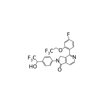 O=C1c2ccnc(-c3ccc(F)cc3OCC(F)(F)F)c2CN1c1ccc(C(O)C(F)(F)F)cc1